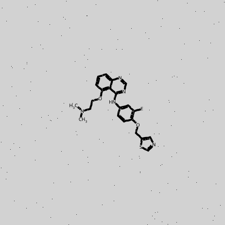 CN(C)CCOc1cccc2ncnc(Nc3ccc(OCc4cncs4)c(F)c3)c12